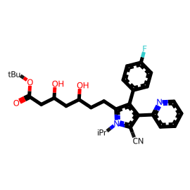 CC(C)n1c(C#N)c(-c2ccccn2)c(-c2ccc(F)cc2)c1CCC(O)CC(O)CC(=O)OC(C)(C)C